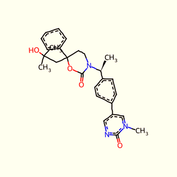 C[C@@H](c1ccc(-c2cnc(=O)n(C)c2)cc1)N1CCC(CC(C)(C)O)(c2ccccc2)OC1=O